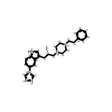 F[C@@H](Cc1c[nH]c2ccc(-n3cnnc3)cc12)CN1CCN(CCc2ccccc2)CC1